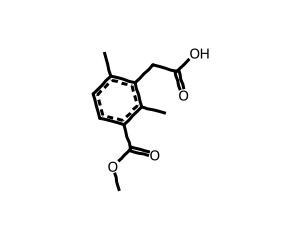 COC(=O)c1ccc(C)c(CC(=O)O)c1C